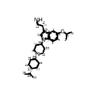 CC(C)Oc1ccc2c(c1)c(CCN)cn2C1CCN([C@H]2CC[C@@H](C(C)C)CC2)CC1